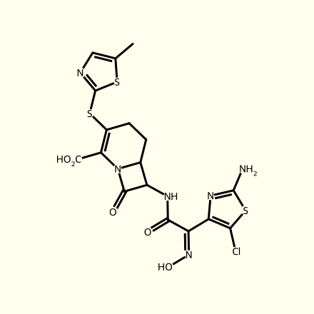 Cc1cnc(SC2=C(C(=O)O)N3C(=O)C(NC(=O)/C(=N\O)c4nc(N)sc4Cl)C3CC2)s1